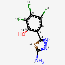 Nc1nnc(-c2cc(F)c(F)c(F)c2O)s1